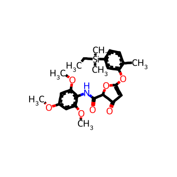 CC[Si](C)(C)c1ccc(C)c(OC2=CC(=O)C(C(=O)Nc3c(OC)cc(OC)cc3OC)O2)c1